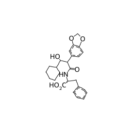 O=C(N[C@@H](Cc1ccccc1)C(=O)O)C(c1ccc2c(c1)OCO2)C(O)C1CCCCC1